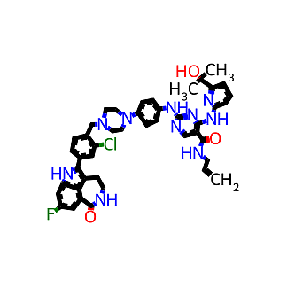 C=CCNC(=O)c1cnc(Nc2ccc(N3CCN(Cc4ccc(-c5[nH]c6cc(F)cc7c6c5CCNC7=O)cc4Cl)CC3)cc2)nc1Nc1cccc(C(C)(C)O)n1